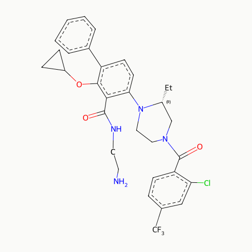 CC[C@@H]1CN(C(=O)c2ccc(C(F)(F)F)cc2Cl)CCN1c1ccc(-c2ccccc2)c(OC2CC2)c1C(=O)NCCN